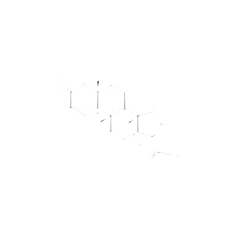 CCC(C)C(=O)[C@H]1CC[C@H]2[C@@H]3CC[C@H]4NC(=O)C=C[C@]4(C)[C@H]3CC[C@]12C